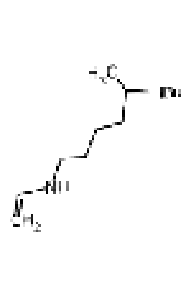 C=CNCCCCC(C)[C@H](C)CC